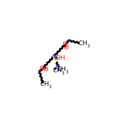 CCCCCC/C=C\COC(=O)CCCCCCCN(CCCCCCCC(=O)OC/C=C\CCCCCC)[C@@H](O)SCCCN(C)CC